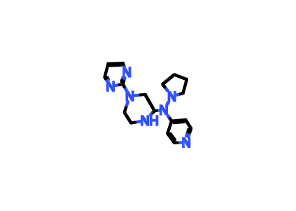 c1cnc(N2CCNC(N(c3ccncc3)N3CCCC3)C2)nc1